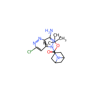 CC(C)(C)OC(=O)N1C2CC1CC(n1nc(N)c3nnc(Cl)cc31)C2